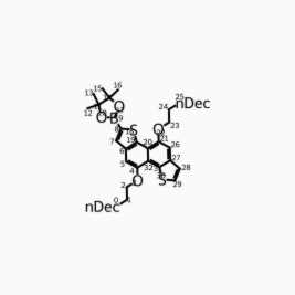 CCCCCCCCCCCCOc1cc2cc(B3OC(C)(C)C(C)(C)O3)sc2c2c(OCCCCCCCCCCCC)cc3ccsc3c12